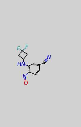 N#Cc1ccc(N=O)c(NC2CC(F)(F)C2)c1